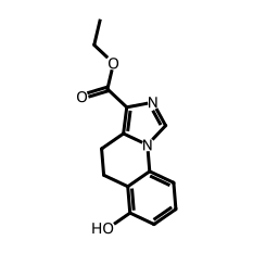 CCOC(=O)c1ncn2c1CCc1c(O)cccc1-2